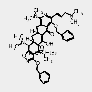 CN(C)CC=Cc1nc(N(C)C)c2c(c1OCc1ccccc1)C(=O)C1=C(O)[C@]3(O[Si](C)(C)C(C)(C)C)C(=O)c4c(OCc5ccccc5)noc4[C@@H](N(C)C)[C@@H]3C[C@@H]1C2